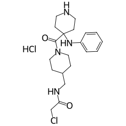 Cl.O=C(CCl)NCC1CCN(C(=O)C2(Nc3ccccc3)CCNCC2)CC1